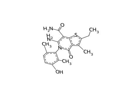 CCc1sc2c(C(N)=O)c(N)n(-c3c(C)ccc(O)c3C)c(=O)c2c1C